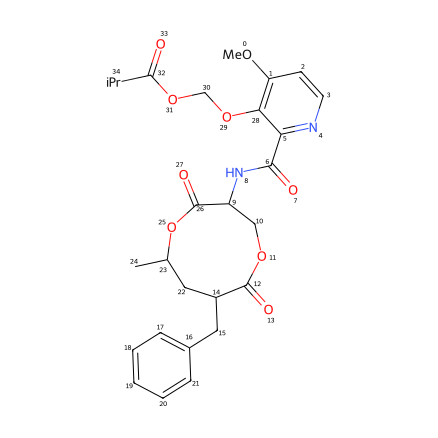 COc1ccnc(C(=O)NC2COC(=O)C(Cc3ccccc3)CC(C)OC2=O)c1OCOC(=O)C(C)C